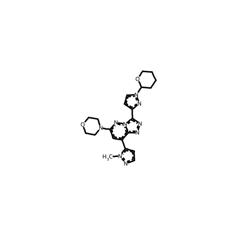 Cn1nccc1-c1cc(N2CCOCC2)nn2c(-c3ccn(C4CCCCO4)n3)nnc12